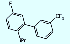 CC(C)c1ccc(F)cc1-c1cccc(C(F)(F)F)c1